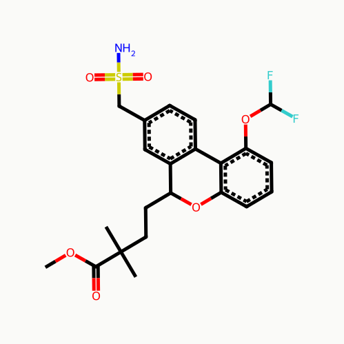 COC(=O)C(C)(C)CCC1Oc2cccc(OC(F)F)c2-c2ccc(CS(N)(=O)=O)cc21